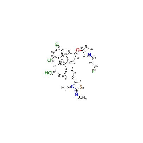 C/N=c1\scc(-c2ccc3c(c2)CCCC(c2ccc(Cl)cc2Cl)=C3c2ccc(O[C@H]3CCN(CCCF)C3)cc2)n1C.Cl